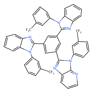 FC(F)(F)c1cccc(-n2c(-c3cc(-c4nc5ccccc5n4-c4cccc(C(F)(F)F)c4)cc(-c4nc5cccnc5n4-c4cccc(C(F)(F)F)c4)c3)nc3ccccc32)c1